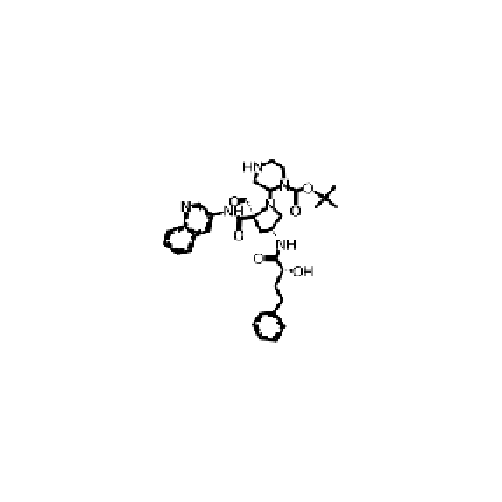 CC(C)(C)OC(=O)N1CCNCC1N1C[C@H](NC(=O)[C@H](O)CCc2ccccc2)C[C@@]1(C=O)C(=O)Nc1cnc2ccccc2c1